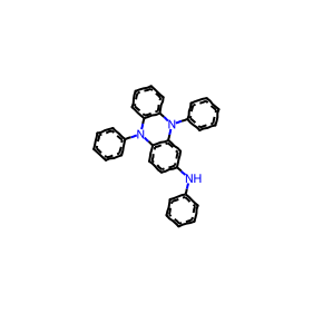 c1ccc(Nc2ccc3c(c2)N(c2ccccc2)c2ccccc2N3c2ccccc2)cc1